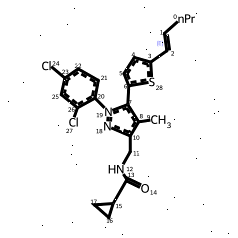 CCC/C=C/c1ccc(-c2c(C)c(CNC(=O)C3CC3)nn2-c2ccc(Cl)cc2Cl)s1